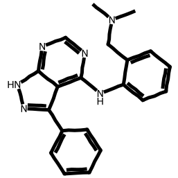 CN(C)Cc1ccccc1Nc1ncnc2[nH]nc(-c3ccccc3)c12